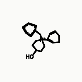 OC1CC[N+](Cc2ccccc2)(C2=CCCC=C2)CC1